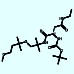 CCNC(=O)C[C@H](NC(=O)OC(C)(C)C)C(=O)NC(C)(C)COC(C)(C)CCOC